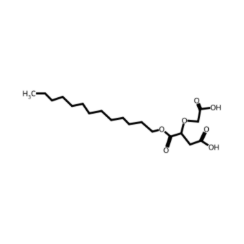 CCCCCCCCCCCCCOC(=O)C(CC(=O)O)OCC(=O)O